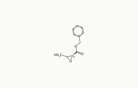 O=C(O)C1O[C@@H]1C(=O)OCc1ccccc1